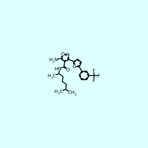 CC(C)CCCC(C)NC(=O)c1c(-c2ccc(-c3cccc(C(F)(F)F)c3)o2)noc1N